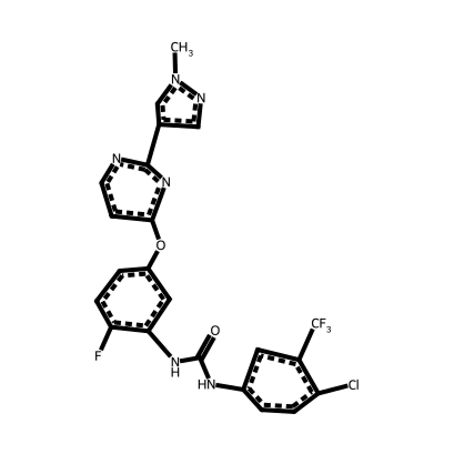 Cn1cc(-c2nccc(Oc3ccc(F)c(NC(=O)Nc4ccc(Cl)c(C(F)(F)F)c4)c3)n2)cn1